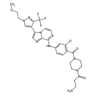 COCCn1cc(-c2cnc3c(Nc4ccc(C(=O)N5CCN(C(=O)CCN)CC5)c(Cl)c4)nccn23)c(C(F)(F)F)n1